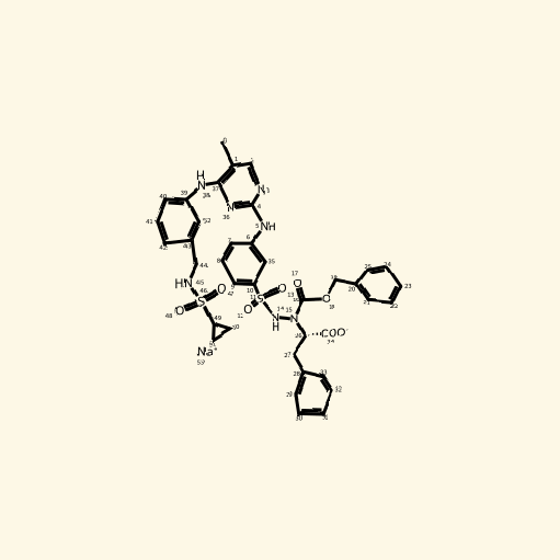 Cc1cnc(Nc2cccc(S(=O)(=O)NN(C(=O)OCc3ccccc3)[C@@H](Cc3ccccc3)C(=O)[O-])c2)nc1Nc1cccc(CNS(=O)(=O)C2CC2)c1.[Na+]